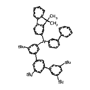 CC(C)(C)c1cc(-c2cc(N(c3cccc(-c4ccccc4)c3)c3ccc4c(c3)C(C)(C)c3ccccc3-4)cc(C(C)(C)C)c2)cc(-c2cc(C(C)(C)C)cc(C(C)(C)C)c2)c1